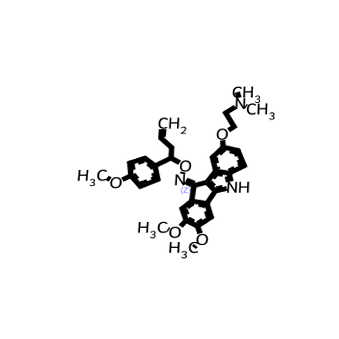 C=CCC(O/N=C1/c2cc(OC)c(OC)cc2-c2[nH]c3ccc(OCCN(C)C)cc3c21)c1ccc(OC)cc1